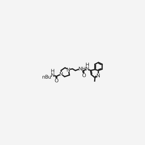 CCCCNC(=O)N1CCN(CCNC(=O)Nc2cc(C)nc3ccccc23)CC1